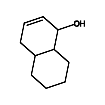 OC1C=CCC2CCCCC12